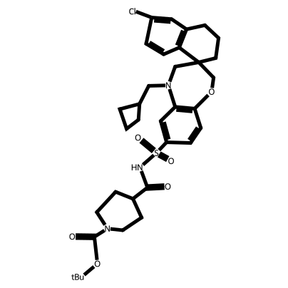 CC(C)(C)OC(=O)N1CCC(C(=O)NS(=O)(=O)c2ccc3c(c2)N(CC2CCC2)CC2(CCCc4cc(Cl)ccc42)CO3)CC1